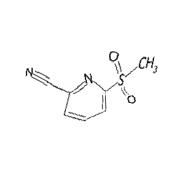 CS(=O)(=O)c1cccc(C#N)n1